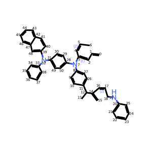 C=C/C=C(\C=C/C)N(c1ccc(C(C)C(=C)/C=C\CNc2ccccc2)cc1)c1ccc(N(c2ccccc2)c2ccc3ccccc3c2)cc1